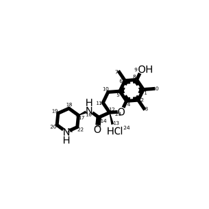 Cc1c(C)c2c(c(C)c1O)CC[C@@](C)(C(=O)N[C@@H]1CCCNC1)O2.Cl